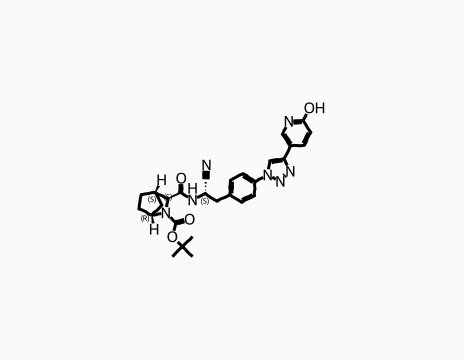 CC(C)(C)OC(=O)N1[C@@H]2CC[C@@H](C2)[C@H]1C(=O)N[C@H](C#N)Cc1ccc(-n2cc(-c3ccc(O)nc3)nn2)cc1